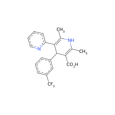 CC1=C(C(=O)O)C(c2cccc(C(F)(F)F)c2)C(c2ccccn2)=C(C)N1